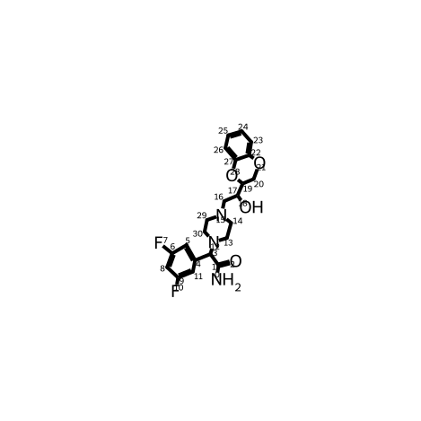 NC(=O)C(c1cc(F)cc(F)c1)N1CCN(CC(O)C2COc3ccccc3O2)CC1